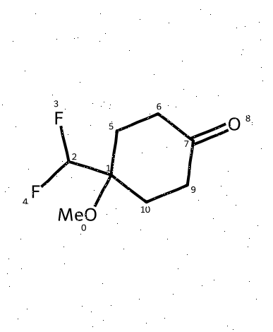 COC1(C(F)F)CCC(=O)CC1